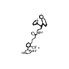 O=C(CCCc1cccc(C2CNCCN2)c1C(F)(F)F)NCCC(c1cccs1)c1cccc2ccccc12